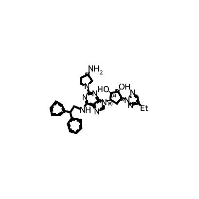 CCc1cnn([C@H]2C[C@@H](n3cnc4c(NCC(c5ccccc5)c5ccccc5)nc(N5CC[C@@H](N)C5)nc43)[C@H](O)[C@@H]2O)n1